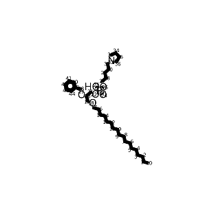 CCCCCCCCCCCCCCCCCCOCC(COP(=O)(O)OCCCCCN1CCCC1)OCc1ccccc1